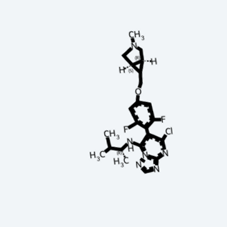 CC(C)[C@@H](C)Nc1c(-c2c(F)cc(OCC3[C@H]4CN(C)C[C@@H]34)cc2F)c(Cl)nc2ncnn12